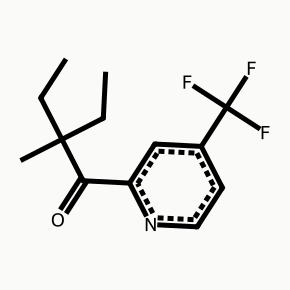 CCC(C)(CC)C(=O)c1cc(C(F)(F)F)ccn1